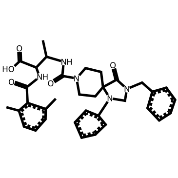 Cc1cccc(C)c1C(=O)NC(C(=O)O)C(C)NC(=O)N1CCC2(CC1)C(=O)N(Cc1ccccc1)CN2c1ccccc1